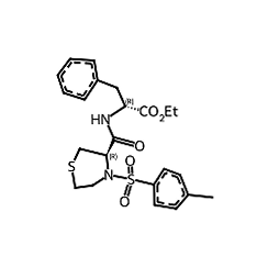 CCOC(=O)[C@@H](Cc1ccccc1)NC(=O)[C@@H]1CSCCN1S(=O)(=O)c1ccc(C)cc1